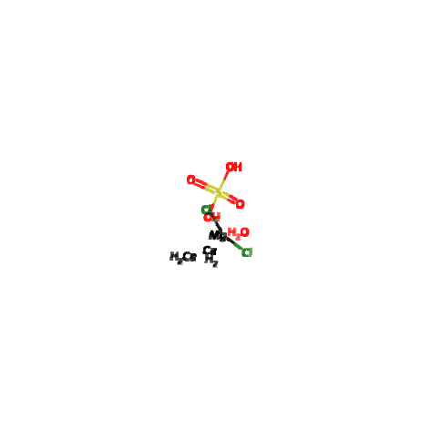 O.O=S(=O)(O)O.[CaH2].[CaH2].[Cl][Mg][Cl]